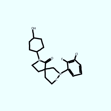 O=C1N(C2CCC(O)CC2)CCC12CCCN(c1cccc(Cl)c1F)C2